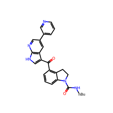 CCCCNC(=O)N1CCc2c(C(=O)c3c[nH]c4ncc(-c5cccnc5)cc34)cccc21